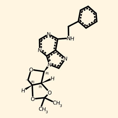 CC1(C)O[C@H]2[C@H](n3cnc4c(NCc5ccccc5)ncnc43)O[CH][C@H]2O1